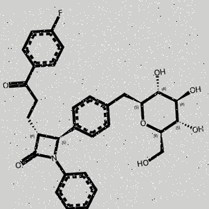 O=C(CC[C@H]1C(=O)N(c2ccccc2)[C@@H]1c1ccc(C[C@@H]2O[C@H](CO)[C@@H](O)[C@H](O)[C@H]2O)cc1)c1ccc(F)cc1